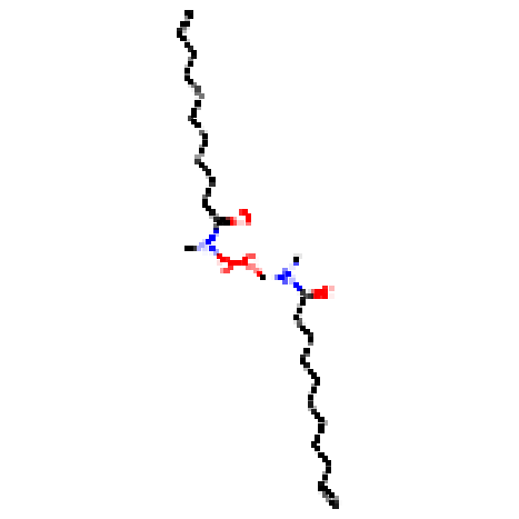 C=CCCCCCCCCC(=O)N(C)COON(C)C(=O)CCCCCCCCC=C